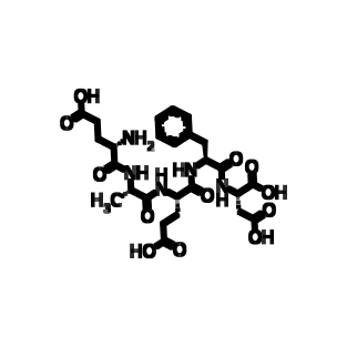 C[C@H](NC(=O)[C@@H](N)CCC(=O)O)C(=O)N[C@@H](CCC(=O)O)C(=O)N[C@@H](Cc1ccccc1)C(=O)N[C@@H](CC(=O)O)C(=O)O